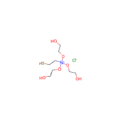 OCCO[N+](CCS)(OCCO)OCCO.[Cl-]